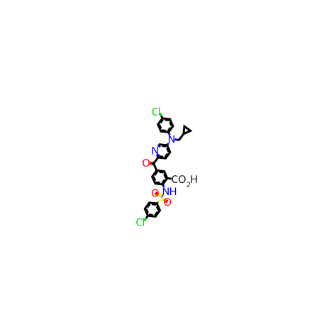 O=C(c1ccc(NS(=O)(=O)c2ccc(Cl)cc2)c(C(=O)O)c1)c1ccc(N(CC2CC2)c2ccc(Cl)cc2)cn1